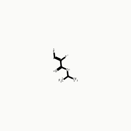 O=C(OC(C(F)(F)F)C(F)(F)F)/C(F)=C/F